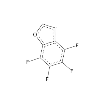 Fc1c(F)c(F)c2oc[c]c2c1F